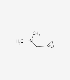 CN(C)CC1=CC1